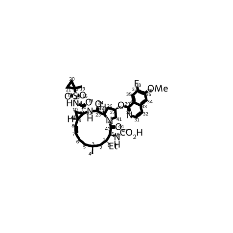 CC[C@@H]1C[C@@H](C)CCC=C[C@@H]2C[C@@]2(C(=O)NS(=O)(=O)C2(C)CC2)NC(=O)[C@@H]2C[C@@H](Oc3nccc4cc(OC)c(F)cc34)CN2C(=O)[C@H]1NC(=O)O